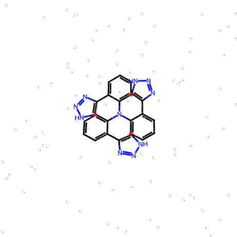 c1ccc(N(c2ccccc2-c2c[nH]nn2)c2ccccc2-c2c[nH]nn2)c(-c2c[nH]nn2)c1